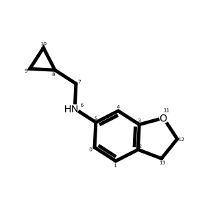 c1cc2c(cc1NCC1CC1)OCC2